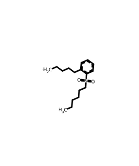 [CH2]CCCCc1ccccc1S(=O)(=O)CCCCCC